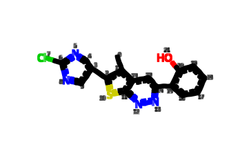 Cc1c(-c2cnc(Cl)nc2)sc2nnc(-c3ccccc3O)cc12